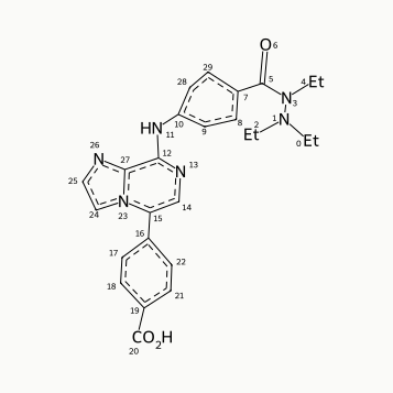 CCN(CC)N(CC)C(=O)c1ccc(Nc2ncc(-c3ccc(C(=O)O)cc3)n3ccnc23)cc1